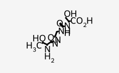 CC(O)C(N)c1nnc(CNC(=O)NC(CO)C(=O)O)o1